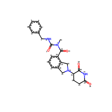 CN(C(=O)NCc1ccccc1)C(=O)c1cccc2c1CN(C1CCC(=O)NC1=O)C2